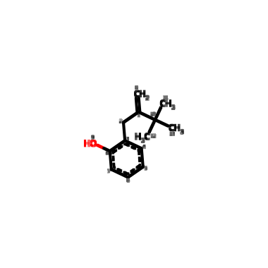 C=C(Cc1ccccc1O)C(C)(C)C